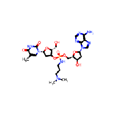 Cc1cn([C@H]2CC(OP(=O)(NCCCN(C)C)OC[C@H]3O[C@@H](n4cnc5c(N)ncnc54)CC3O)[C@@H](CO)O2)c(=O)[nH]c1=O